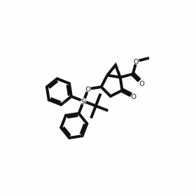 COC(=O)C12CC1C(O[Si](c1ccccc1)(c1ccccc1)C(C)(C)C)CC2=O